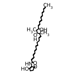 C/C=C/C=C/C=C/C=C/C=C/C(O)C(C)C(O)C(C)/C=C/CC/C=C/C=C/C=C/C=C/C(=O)NC1=C(O)CCC1=O